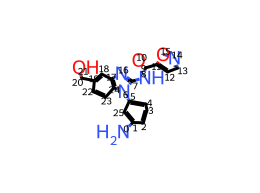 Nc1cccc(-n2c(NC(=O)c3ccno3)nc3cc(CO)ccc32)c1